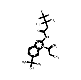 C=C(CC)n1c(NC(=O)CC(C)(C)C(F)(F)F)nc2ccc(C(C)(C)O)cc21